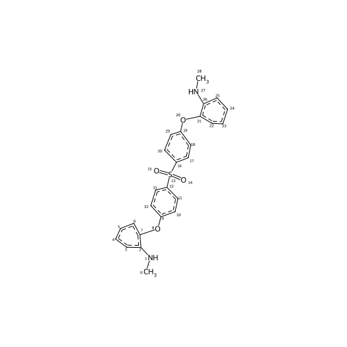 CNc1ccccc1Oc1ccc(S(=O)(=O)c2ccc(Oc3ccccc3NC)cc2)cc1